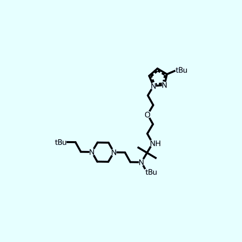 CC(C)(C)CCN1CCN(CCN(C(C)(C)C)C(C)(C)NCCOCCn2ccc(C(C)(C)C)n2)CC1